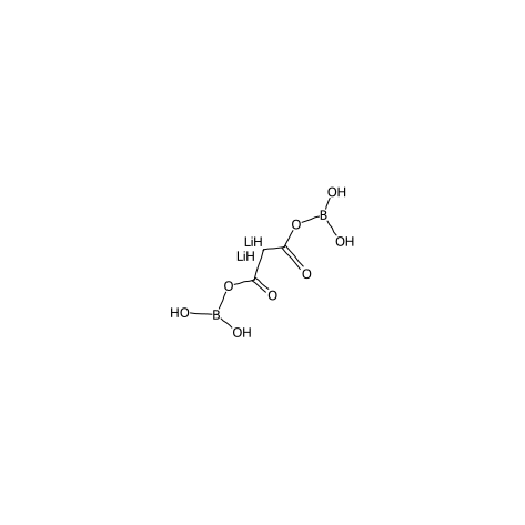 O=C(CC(=O)OB(O)O)OB(O)O.[LiH].[LiH]